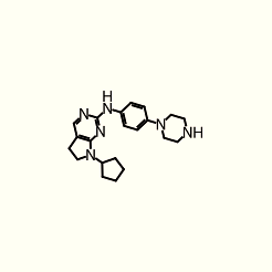 c1cc(N2CCNCC2)ccc1Nc1ncc2c(n1)N(C1CCCC1)CC2